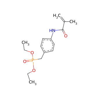 C=C(C)C(=O)Nc1ccc(CP(=O)(OCC)OCC)cc1